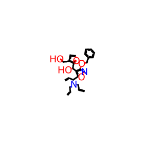 C=CCN(CC=C)[C@@H](C=C)c1onc(OCc2ccccc2)c1C(O)c1occc1CO